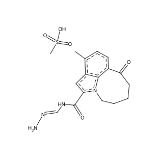 CS(=O)(=O)O.Cc1ccc2c3c1cc(C(=O)NC=NN)n3CCCCC2=O